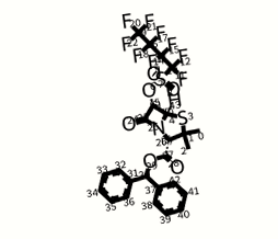 CC1(C)S[C@@H]2[C@@H](OS(=O)(=O)C(F)(F)C(F)(F)C(F)(F)C(F)(F)F)C(=O)N2[C@H]1C(=O)OC(c1ccccc1)c1ccccc1